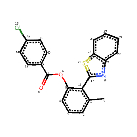 Cc1cccc(OC(=O)c2ccc(Cl)cc2)c1-c1nc2ccccc2s1